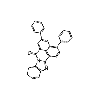 O=c1c2cc(-c3ccccc3)cc3c(-c4ccccc4)ccc(c32)c2nc3c(n12)CCC=C3